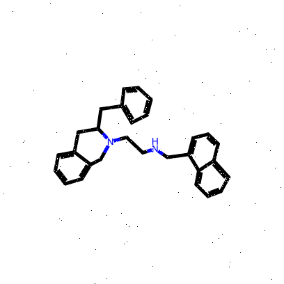 c1ccc(CC2Cc3ccccc3CN2CCNCc2cccc3ccccc23)cc1